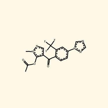 CC(=O)Oc1c(C(=O)c2ccc(-n3cncn3)cc2C(F)(F)F)cnn1C